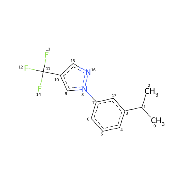 CC(C)c1cccc(-n2cc(C(F)(F)F)cn2)c1